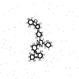 c1ccc(-c2cc(-c3ccc(-c4ccc5oc6ccccc6c5c4)cc3)nc(-c3cccc(-n4c5ccccc5c5ccccc54)c3)n2)cc1